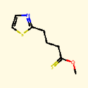 COC(=S)CCCc1nccs1